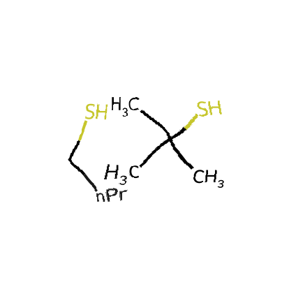 CC(C)(C)S.CCCCS